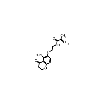 C=C(C)C(=O)NCCOc1ccc2c(c1N)C(=O)CCO2